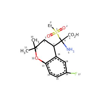 CCS(=O)(=O)C(N)(C(=O)O)C1CC(C)(C)Oc2ccc(F)cc21